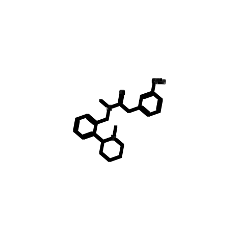 COc1cccc(CC(=O)N(C)Cc2ccccc2C2CCCCN2C)c1